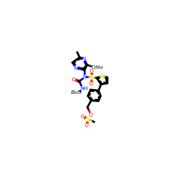 COc1nc(C)cnc1N(C(=O)NOCC(C)C)S(=O)(=O)c1sccc1-c1ccc(COS(C)(=O)=O)cc1